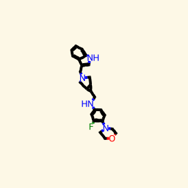 Fc1cc(NCC2C3CN(Cc4c[nH]c5ccccc45)CC23)ccc1N1CCOCC1